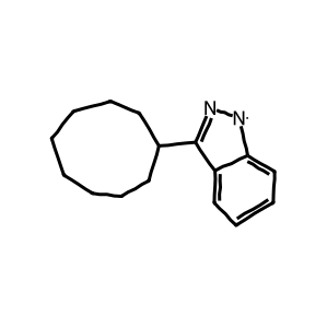 c1ccc2c(c1)[N]N=C2C1CCCCCCCC1